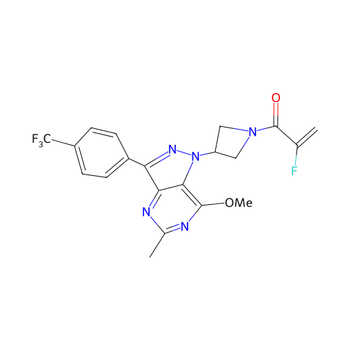 C=C(F)C(=O)N1CC(n2nc(-c3ccc(C(F)(F)F)cc3)c3nc(C)nc(OC)c32)C1